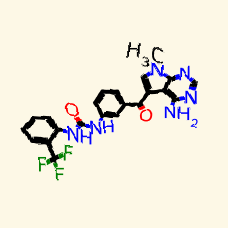 Cn1cc(C(=O)c2cccc(NC(=O)Nc3ccccc3C(F)(F)F)c2)c2c(N)ncnc21